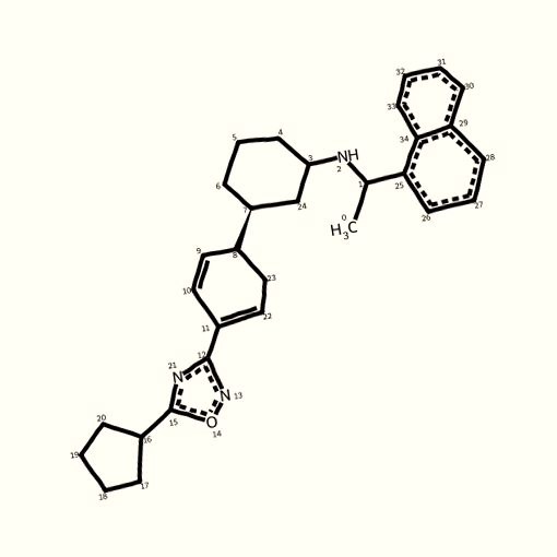 CC(NC1CCC[C@H](C2C=CC(c3noc(C4CCCC4)n3)=CC2)C1)c1cccc2ccccc12